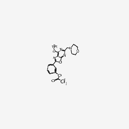 CCCOc1nc(CN2CCOCC2)nc2oc(-c3cccc(OC(=O)C(F)(F)F)c3)nc12